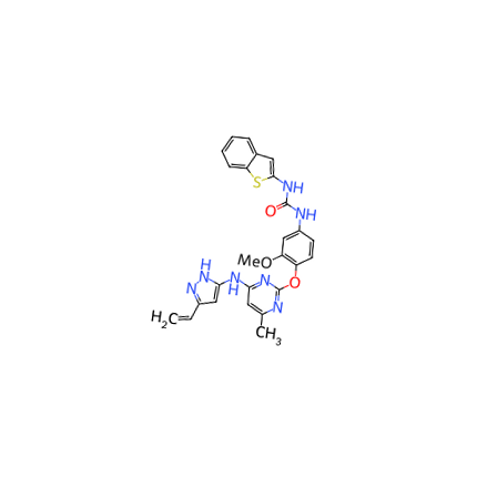 C=Cc1cc(Nc2cc(C)nc(Oc3ccc(NC(=O)Nc4cc5ccccc5s4)cc3OC)n2)[nH]n1